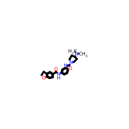 CN(C)C1CCN(c2nc3cc(NC(=O)c4ccc5c(c4)CCO5)ccc3o2)CC1